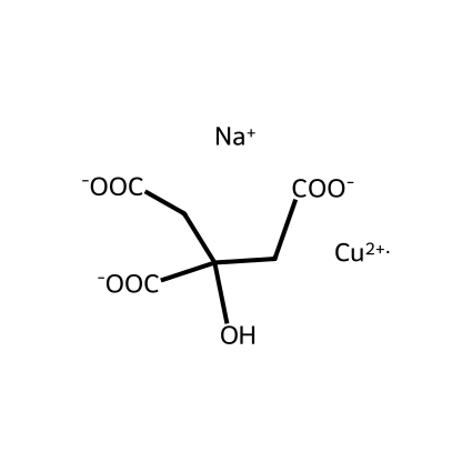 O=C([O-])CC(O)(CC(=O)[O-])C(=O)[O-].[Cu+2].[Na+]